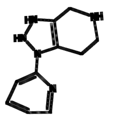 c1ccc(N2NNC3=C2CCNC3)nc1